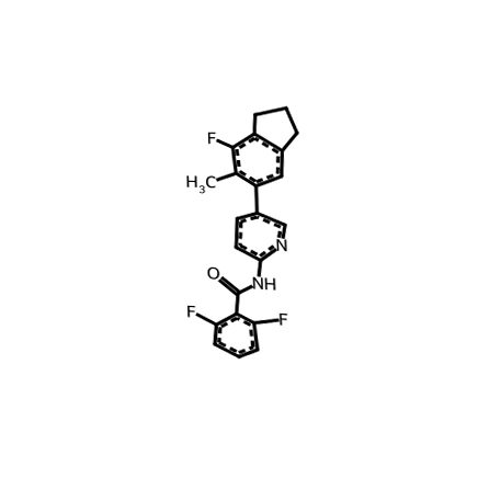 Cc1c(-c2ccc(NC(=O)c3c(F)cccc3F)nc2)cc2c(c1F)CCC2